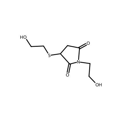 O=C1CC(SCCO)C(=O)N1CCO